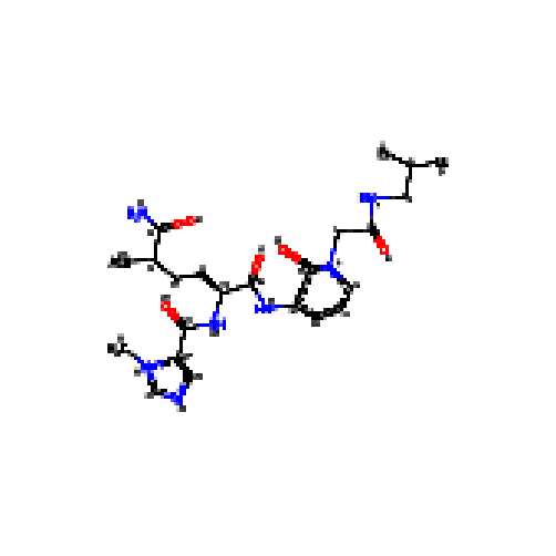 CCC(CC)CNC(=O)Cn1cccc(NC(=O)[C@H](CCC(OC(C)=O)C(N)=O)NC(=O)c2cncn2C)c1=O